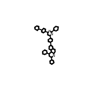 c1ccc(-c2ccc(-c3cc(-c4ccc(-c5ccc6c(ccc7nc(-c8ccccc8)cc(-c8ccccc8)c76)c5)cc4)nc(-c4ccccc4)n3)cc2)cc1